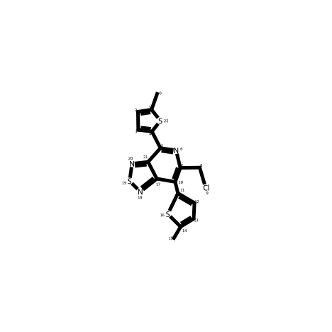 Cc1ccc(-c2nc(CCl)c(-c3ccc(C)s3)c3nsnc23)s1